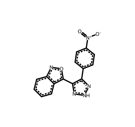 O=[N+]([O-])c1ccc(-c2n[nH]nc2-c2onc3ccccc23)cc1